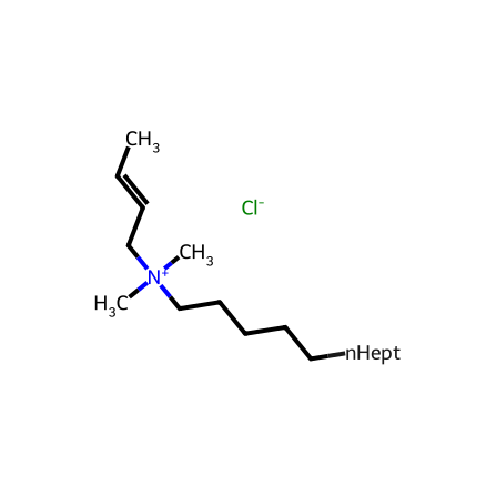 CC=CC[N+](C)(C)CCCCCCCCCCCC.[Cl-]